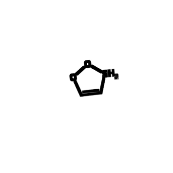 C1=C[SiH2]OO1